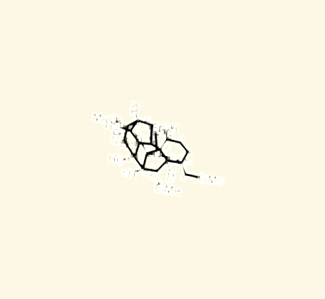 CCN1C[C@]2(COC)CC[C@H](O)[C@@]34[C@@H]5C[C@H]6[C@H](O)[C@@H]5[C@](O)(C[C@@H]6OC)[C@@H]([C@@H](OC)[C@H]23)[C@@H]14